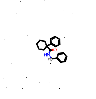 C[C@H](NC(=O)C1(c2ccccc2)CCCCC1)c1ccccc1